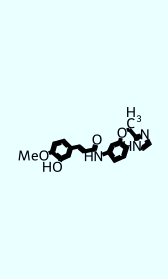 COc1ccc(C=CC(=O)Nc2cccc(OC(C)c3ncc[nH]3)c2)cc1O